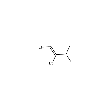 CC/C=C(\CC)P(C)C